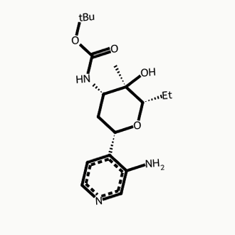 CC[C@@H]1O[C@H](c2ccncc2N)C[C@H](NC(=O)OC(C)(C)C)[C@@]1(C)O